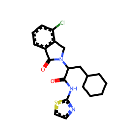 O=C(Nc1nccs1)C(CC1CCCCC1)N1Cc2c(Cl)cccc2C1=O